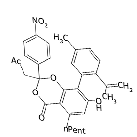 C=C(C)c1ccc(C)cc1-c1c(O)cc(CCCCC)c2c1OC(CC(C)=O)(c1ccc([N+](=O)[O-])cc1)OC2=O